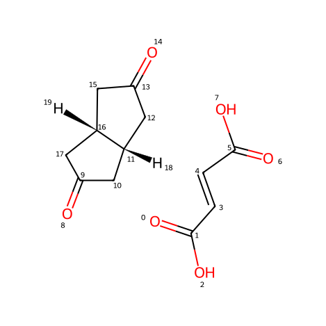 O=C(O)C=CC(=O)O.O=C1C[C@H]2CC(=O)C[C@H]2C1